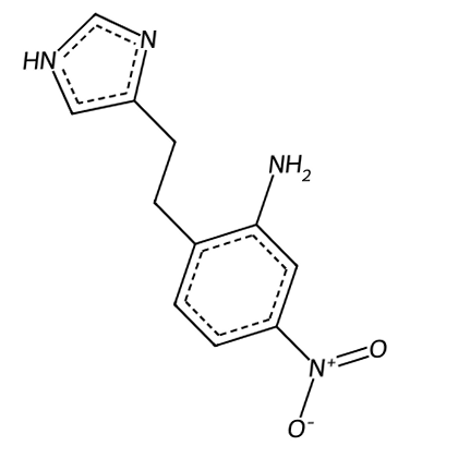 Nc1cc([N+](=O)[O-])ccc1CCc1c[nH]cn1